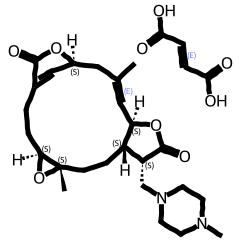 C/C1=C\[C@H]2OC(=O)[C@H](CN3CCN(C)CC3)[C@@H]2CC[C@]2(C)O[C@H]2CCC2=C[C@H](C1)OC2=O.O=C(O)/C=C/C(=O)O